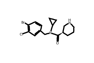 O=C([C@@H]1CCCNC1)N(Cc1ccc(Br)c(Cl)c1)C1CC1